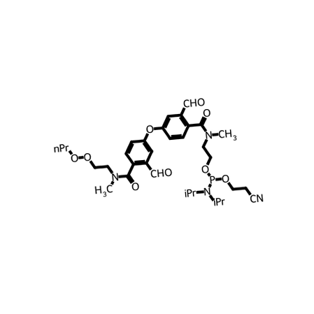 CCCOOCCN(C)C(=O)c1ccc(Oc2ccc(C(=O)N(C)CCOP(OCCC#N)N(C(C)C)C(C)C)c(C=O)c2)cc1C=O